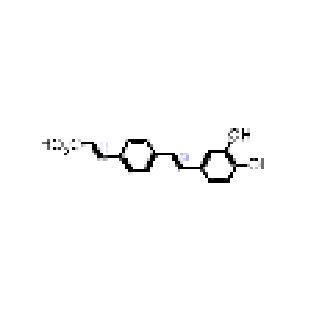 O=C(O)/C=C/c1ccc(/C=C/c2ccc(O)c(O)c2)cc1